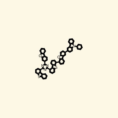 c1ccc(-n2c3ccccc3c3cc(-c4ccc5oc6c(-c7cccc8c7sc7cccc(-c9nc(-c%10ccc%11c(c%10)oc%10ccccc%10%11)nc(-c%10cccc%11sc%12ccccc%12c%10%11)n9)c78)cccc6c5c4)ccc32)cc1